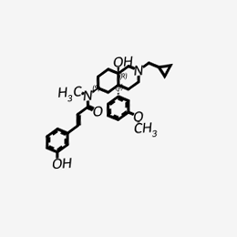 COc1cccc([C@@]23CCN(CC4CC4)C[C@@]2(O)CC[C@H](N(C)C(=O)C=Cc2cccc(O)c2)C3)c1